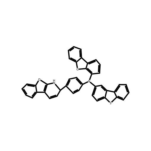 C1=CC(c2ccc(N(c3ccc4sc5ccccc5c4c3)c3cccc4c3oc3ccccc34)cc2)Nc2oc3ccccc3c21